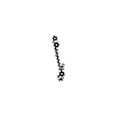 CC1(C)OCc2cc(C3CN(CCCCCCOCCOCc4cccc(SC5CCCC5)c4)C(=O)O3)ccc2O1